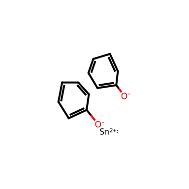 [O-]c1ccccc1.[O-]c1ccccc1.[Sn+2]